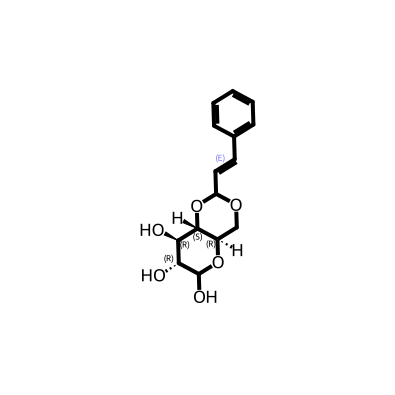 OC1O[C@@H]2COC(/C=C/c3ccccc3)O[C@H]2[C@H](O)[C@H]1O